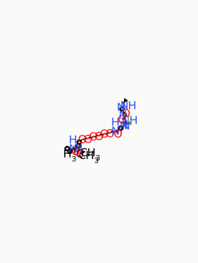 CC(C)(C)CC(=O)N1Cc2cc(OCCOCCOCCOCCOCCOCCNC(=O)c3ccc(-n4cc(NC(=O)c5coc(-c6ccnc(NCC7CC7)c6)n5)c(C(F)F)n4)cc3)ccc2C[C@H]1C(=O)N[C@@H]1CCCc2ccccc21